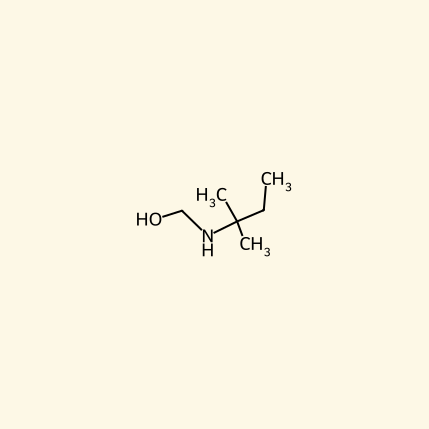 CCC(C)(C)NCO